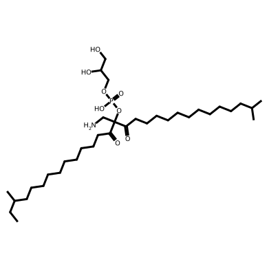 CCC(C)CCCCCCCCCCC(=O)C(CN)(OP(=O)(O)OCC(O)CO)C(=O)CCCCCCCCCCCC(C)C